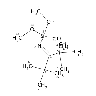 CO[Si](N=C(C(C)(C)C)C(C)(C)C)(OC)OC